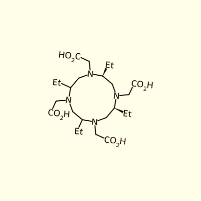 CCC1CN(CC(=O)O)[C@@H](CC)CN(CC(=O)O)[C@@H](CC)CN(CC(=O)O)C(CC)CN1CC(=O)O